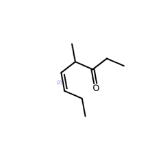 CC/C=C\C(C)C(=O)CC